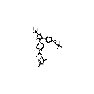 Cc1nc(C)n(CC(=O)N2CCN(c3sc(C(F)(F)F)nc3-c3ccc(OCC(F)(F)F)cc3)C[C@H]2C)n1